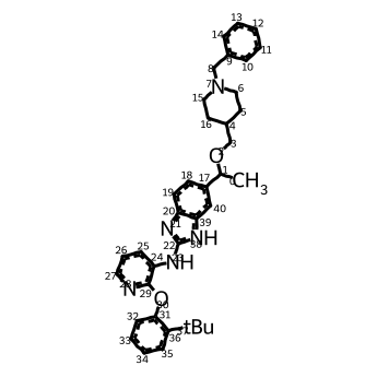 CC(OCC1CCN(Cc2ccccc2)CC1)c1ccc2nc(Nc3cccnc3Oc3ccccc3C(C)(C)C)[nH]c2c1